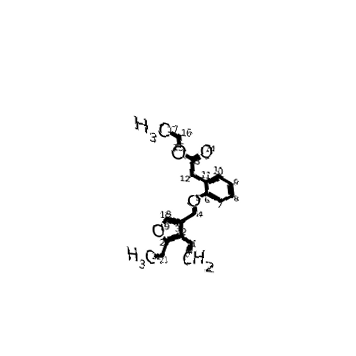 C=Cc1c(COc2ccccc2CC(=O)OCC)coc1CC